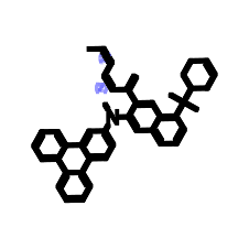 C=C(/C=C\C=C/C)c1cc2c(C(C)(C)C3CC=CCC3)cccc2cc1N(C)c1ccc2c3ccccc3c3ccccc3c2c1